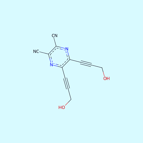 N#Cc1nc(C#CCO)c(C#CCO)nc1C#N